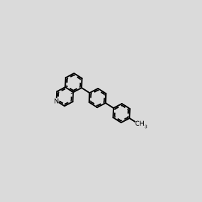 Cc1ccc(-c2ccc(-c3cccc4cnccc34)cc2)cc1